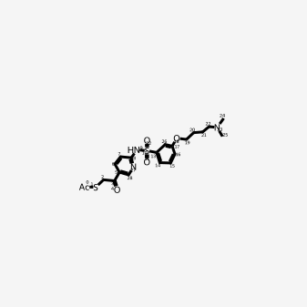 CC(=O)SCC(=O)c1ccc(NS(=O)(=O)c2cccc(OCCCCN(C)C)c2)nc1